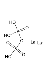 O=P(O)(O)OS(=O)(=O)O.[La].[La]